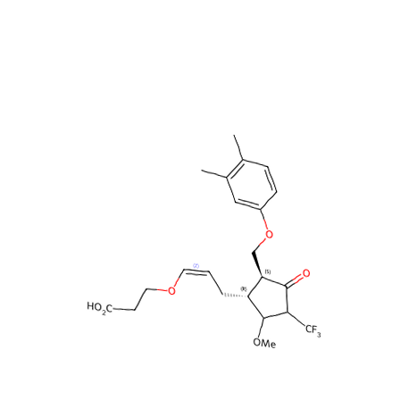 COC1C(C(F)(F)F)C(=O)[C@H](COc2ccc(C)c(C)c2)[C@H]1C/C=C\OCCC(=O)O